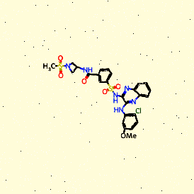 COc1ccc(Cl)c(Nc2nc3ccccc3nc2NS(=O)(=O)c2cccc(C(=O)NC3CN(S(C)(=O)=O)C3)c2)c1